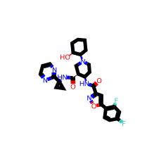 O=C(N[C@@H]1CCN([C@@H]2CCCC[C@H]2O)C[C@H]1C(=O)NC1(c2ncccn2)CC1)c1cc(-c2ccc(F)cc2F)on1